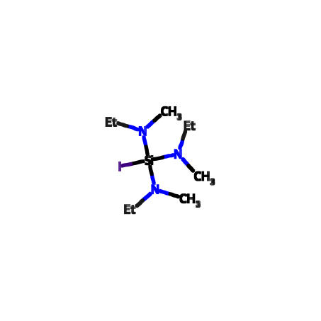 CCN(C)[Si](I)(N(C)CC)N(C)CC